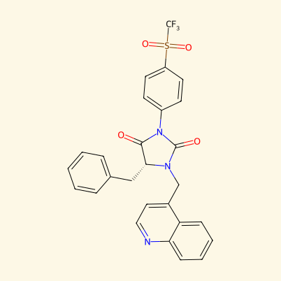 O=C1[C@@H](Cc2ccccc2)N(Cc2ccnc3ccccc23)C(=O)N1c1ccc(S(=O)(=O)C(F)(F)F)cc1